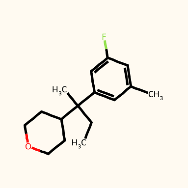 CCC(C)(c1cc(C)cc(F)c1)C1CCOCC1